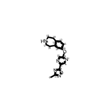 Cc1noc(-c2cnc(Oc3ccc4c(c3)CCNCC4)cn2)n1